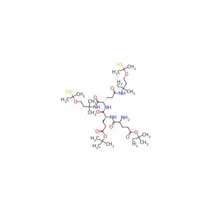 CC(C)(CCOC(C)(C)S)NC(=O)CC[C@H](NC(=O)[C@H](CCC(=O)OC(C)(C)C)NC(=O)[C@@H](N)CCC(=O)OC(C)(C)C)C(=O)NC(C)(C)CCOC(C)(C)S